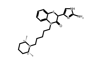 C[C@@H]1CCC[C@H](C)N1CCCCCN1C(=O)C(c2c[nH]c(N)n2)Sc2ccccc21